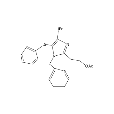 CC(=O)OCCc1nc(C(C)C)c(Sc2ccccc2)n1Cc1ccccn1